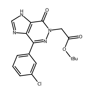 CC(C)(C)OC(=O)Cn1nc(-c2cccc(Cl)c2)c2nc[nH]c2c1=O